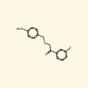 COc1ccc(CSCC(=O)c2cccc(F)c2)cc1